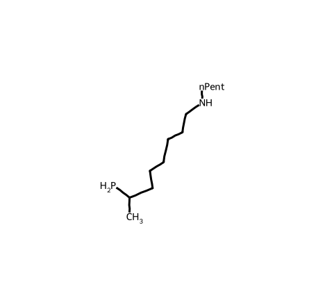 CCCCCNCCCCCCC(C)P